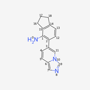 Nc1c(-c2ccc3cncn3c2)ccc2c1CCC2